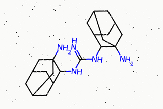 N=C(NC1C2CC3CC(C2)CC1(N)C3)NC1C2CC3CC(C2)CC1(N)C3